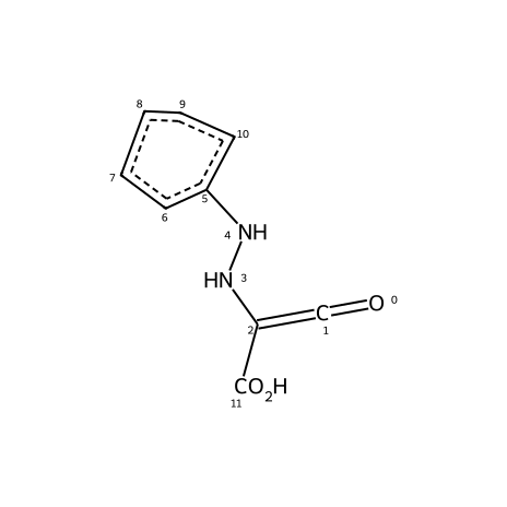 O=C=C(NNc1ccccc1)C(=O)O